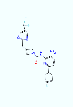 Nc1ccc(-c2ccc(F)cc2)nc1NC(=O)N1CC(Cc2ncc(C(F)(F)F)cn2)C1